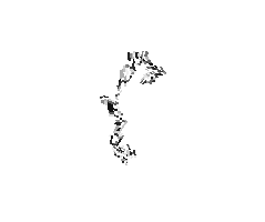 Cc1nc(Nc2ncc(C=O)s2)cc(N2CCN(CCCCC(=O)N3CC4(C3)CN(c3ccc(N5CCC(=O)NC5=O)cc3)C4)CC2)n1